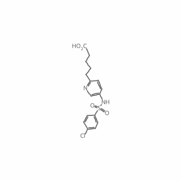 O=C(O)CCCCc1ccc(NS(=O)(=O)c2ccc(Cl)cc2)cn1